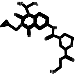 CCOC(=O)C1CN(C(=O)Nc2ccc3c(c2)c(=O)n(CC2CC2)c(=O)n3C(C)C)CCO1